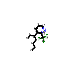 CCCCC(CC)c1cccnc1C(F)(F)F